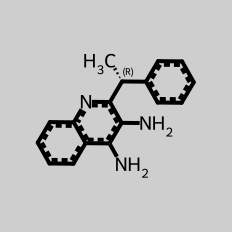 C[C@H](c1ccccc1)c1nc2ccccc2c(N)c1N